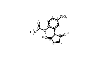 NC(=O)Oc1ccc([N+](=O)[O-])cc1N1C(=O)C=CC1=O